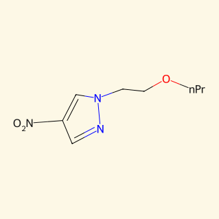 CCCOCCn1cc([N+](=O)[O-])cn1